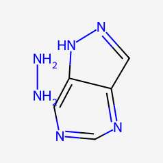 NN.c1ncc2[nH]ncc2n1